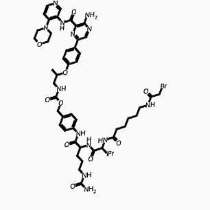 CC(CNC(=O)OCc1ccc(NC(=O)C(CCCNC(N)=O)NC(=O)C(NC(=O)CCCCCNC(=O)CBr)C(C)C)cc1)Oc1ccc(-c2cnc(N)c(C(=O)Nc3cnccc3N3CCOCC3)n2)cc1